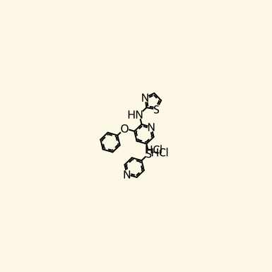 Cl.Cl.c1ccc(Oc2cc(Sc3ccncc3)cnc2Nc2nccs2)cc1